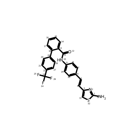 Nc1nc(C=Cc2ccc(NC(=O)c3ccccc3-c3ccc(C(F)(F)F)cc3)cc2)cs1